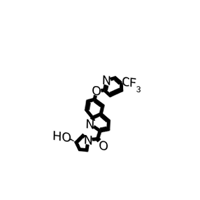 O=C(c1ccc2cc(Oc3ccc(C(F)(F)F)cn3)ccc2n1)N1CC[C@H](O)C1